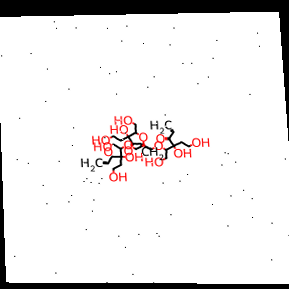 C=CC(=O)C(O)(CCO)C(CO)OCC(COC(CO)C(O)(CCO)C(=O)C=C)OC(CO)C(O)(CCO)C(=O)C=C